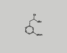 CCCCCCCCCc1cc[c]c(CC(CC)CCCC)c1